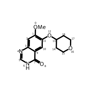 COc1cc2nc[nH]c(=O)c2cc1OC1CCOCC1